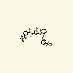 CC(C)(O)c1cccc(COc2cccnc2Cc2cc(C(=O)Nc3cccc(NS(C)(=O)=O)c3)c[nH]2)n1